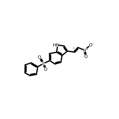 O=[N+]([O-])/C=C/c1c[nH]c2cc(S(=O)(=O)c3ccccc3)ccc12